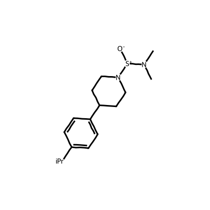 CC(C)c1ccc(C2CCN([S+]([O-])N(C)C)CC2)cc1